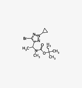 CC(c1nn(C2CC2)nc1Br)N(C)C(=O)OC(C)(C)C